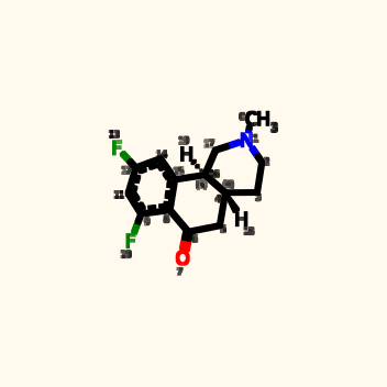 CN1CC[C@@H]2CC(=O)c3c(F)cc(F)cc3[C@H]2C1